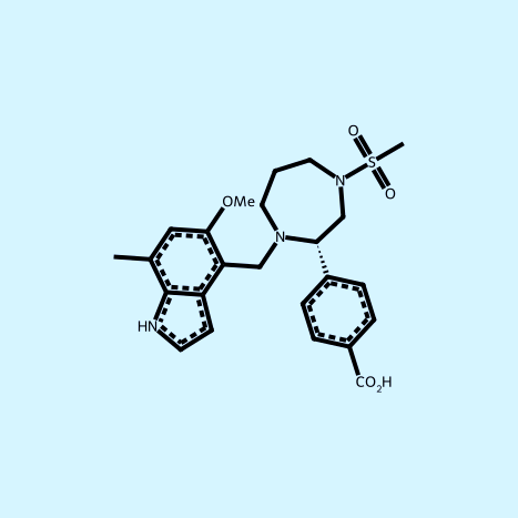 COc1cc(C)c2[nH]ccc2c1CN1CCCN(S(C)(=O)=O)C[C@@H]1c1ccc(C(=O)O)cc1